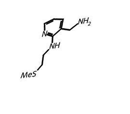 CSCCNc1ncccc1CN